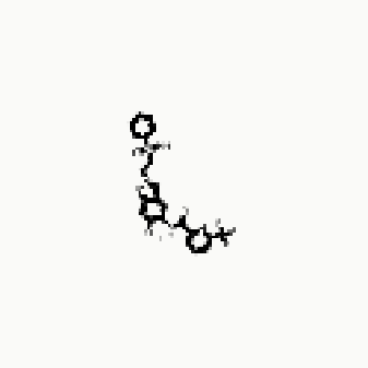 Cc1cc2nn(CCS(=N)(=O)c3ccccc3)cc2cc1NC(=O)c1cccc(C(F)(F)F)n1